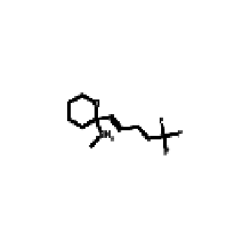 C[SiH2]C1(C=CCCC(F)(F)F)CCCCO1